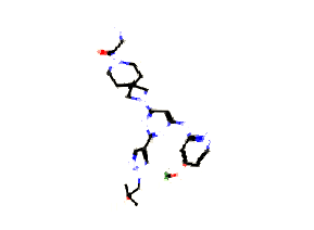 CC(C)(O)Cn1cc(-c2nc(Nc3cc(OC(F)F)ccn3)cc(N3CC4(CCN(C(=O)CN)CC4)C3)n2)cn1